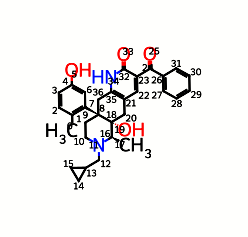 Cc1ccc(O)cc1[C@]12CCN(CC3CC3)[C@H](C)[C@]1(O)Cc1cc(C(=O)c3ccccc3)c(=O)[nH]c1C2